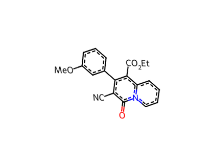 CCOC(=O)c1c(-c2cccc(OC)c2)c(C#N)c(=O)n2ccccc12